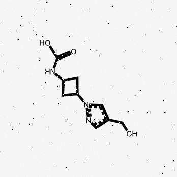 O=C(O)NC1CC(n2cc(CO)cn2)C1